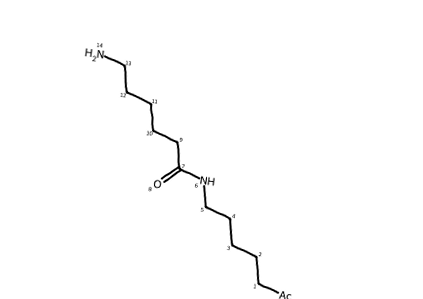 CC(=O)CCCCCNC(=O)CCCCCN